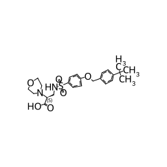 CC(C)(C)c1ccc(COc2ccc(S(=O)(=O)NC[C@@H](C(=O)O)N3CCOCC3)cc2)cc1